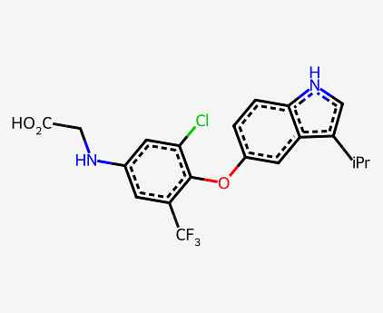 CC(C)c1c[nH]c2ccc(Oc3c(Cl)cc(NCC(=O)O)cc3C(F)(F)F)cc12